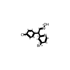 ON=CC(c1ccc(Cl)cc1)c1cc(Br)ccn1